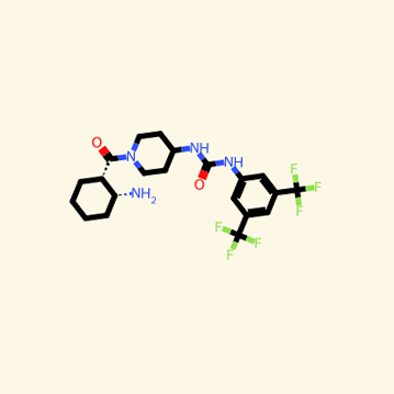 N[C@@H]1CCCC[C@@H]1C(=O)N1CCC(NC(=O)Nc2cc(C(F)(F)F)cc(C(F)(F)F)c2)CC1